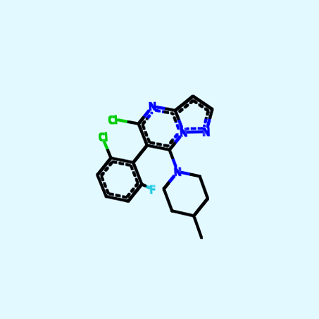 CC1CCN(c2c(-c3c(F)cccc3Cl)c(Cl)nc3ccnn23)CC1